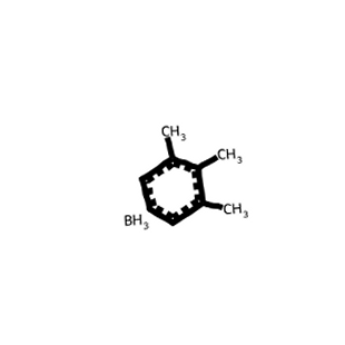 B.Cc1cccc(C)c1C